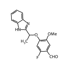 COc1cc(C=O)c(F)cc1OC(C)c1nc2ccccc2[nH]1